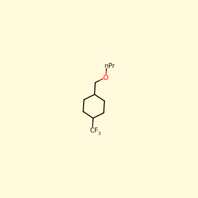 CCCOCC1CCC(C(F)(F)F)CC1